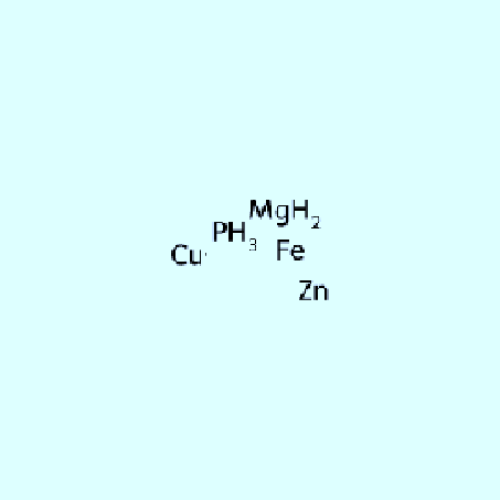 P.[Cu].[Fe].[MgH2].[Zn]